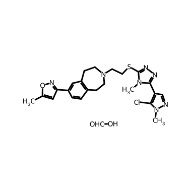 Cc1cc(-c2ccc3c(c2)CCN(CCSc2nnc(-c4cnn(C)c4Cl)n2C)CC3)no1.O=CO